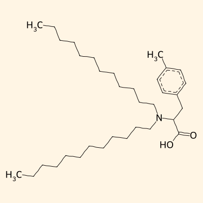 CCCCCCCCCCCCN(CCCCCCCCCCCC)C(Cc1ccc(C)cc1)C(=O)O